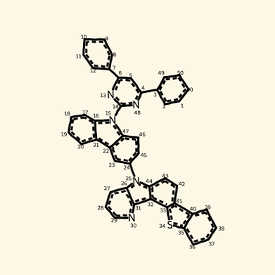 c1ccc(-c2cc(-c3ccccc3)nc(-n3c4ccccc4c4cc(-n5c6cccnc6c6c7sc8ccccc8c7ccc65)ccc43)n2)cc1